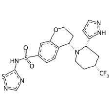 O=S(=O)(Nc1ncns1)c1ccc2c(c1)OCC[C@@H]2N1CC[C@@H](C(F)(F)F)C[C@H]1c1ccn[nH]1